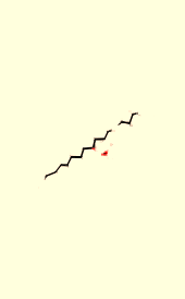 CCCCCCCCC(CCCCCCCC)OC(=O)O